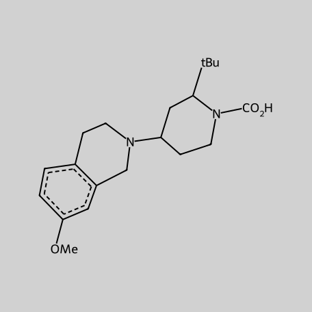 COc1ccc2c(c1)CN(C1CCN(C(=O)O)C(C(C)(C)C)C1)CC2